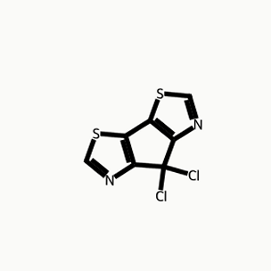 ClC1(Cl)c2ncsc2-c2scnc21